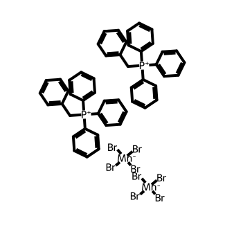 [Br][Mn-]([Br])([Br])[Br].[Br][Mn-]([Br])([Br])[Br].c1ccc(C[P+](c2ccccc2)(c2ccccc2)c2ccccc2)cc1.c1ccc(C[P+](c2ccccc2)(c2ccccc2)c2ccccc2)cc1